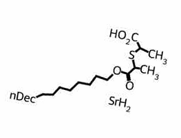 CCCCCCCCCCCCCCCCCCOC(=O)C(C)SC(C)C(=O)O.[SrH2]